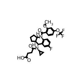 COc1cc(OC(F)(F)F)ccc1C(=O)N1c2ccc(F)cc2[C@H](N(C(=O)CCC(=O)O)C2CC2)[C@H]2CCC[C@@H]21